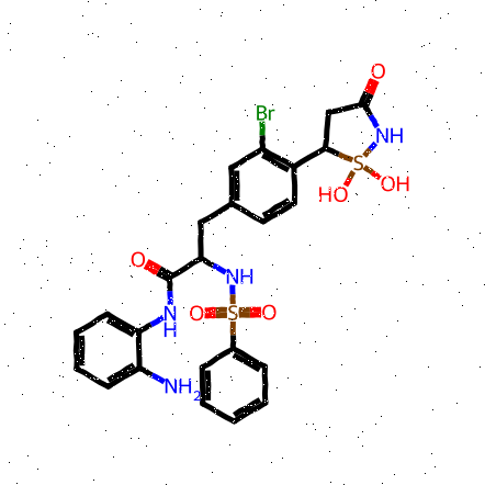 Nc1ccccc1NC(=O)C(Cc1ccc(C2CC(=O)NS2(O)O)c(Br)c1)NS(=O)(=O)c1ccccc1